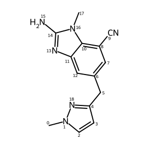 Cn1ccc(Cc2cc(C#N)c3c(c2)nc(N)n3C)n1